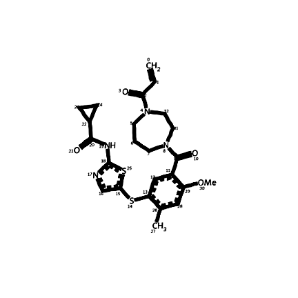 C=CC(=O)N1CCCN(C(=O)c2cc(Sc3cnc(NC(=O)C4CC4)s3)c(C)cc2OC)CC1